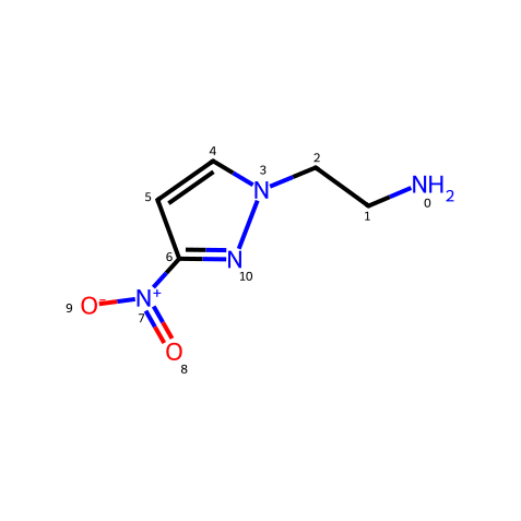 NCCn1ccc([N+](=O)[O-])n1